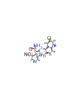 N#Cc1cncc2c1c(C(N)=O)cn2Cc1ccc2ncc(Cl)cc2c1